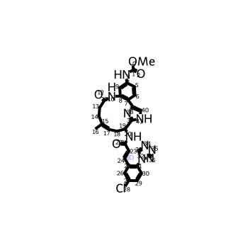 COC(=O)Nc1ccc2c(c1)NC(=O)CCC(C)=CCC(NC(=O)/C=C/c1cc(Cl)ccc1-n1cnnn1)c1nc-2c[nH]1